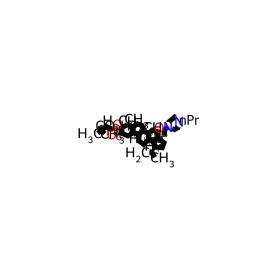 C=C(C)[C@@H]1CC[C@]2(CC(=O)N3CCN(CCC)CC3)CC[C@]3(C)[C@H](CC[C@@H]4[C@@]5(C)CC[C@H](OC(=O)CC(C)(C)C(=O)O)C(C)(C)[C@@H]5CC[C@]43C)[C@@H]12